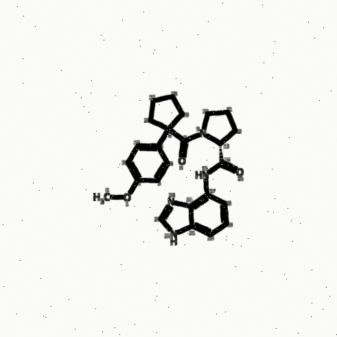 COc1ccc(C2(C(=O)N3CCC[C@@H]3C(=O)Nc3cccc4[nH]cnc34)CCCC2)cc1